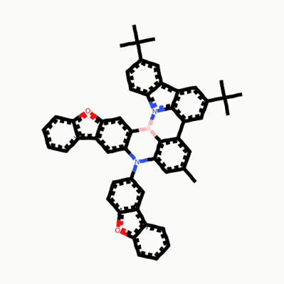 Cc1cc2c3c(c1)N(c1ccc4oc5ccccc5c4c1)c1cc4c(cc1B3n1c3ccc(C(C)(C)C)cc3c3cc(C(C)(C)C)cc-2c31)oc1ccccc14